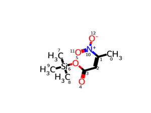 C/C(=C/C(=O)O[Si](C)(C)C)[N+](=O)[O-]